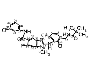 Cn1c(Nc2c(Cl)ccc(CNC(=O)C(C)(C)C)c2Cl)nc2cc(C(=O)Nc3cccc(Cl)c3)c(F)cc21